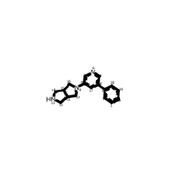 c1ccc(-c2cncc(N3CC4CNCC4C3)c2)cc1